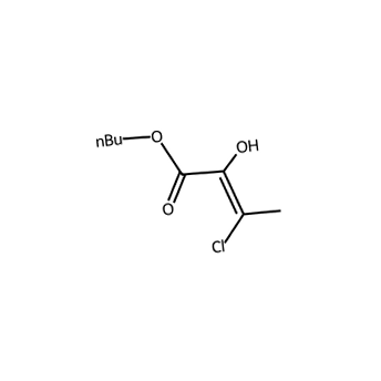 CCCCOC(=O)C(O)=C(C)Cl